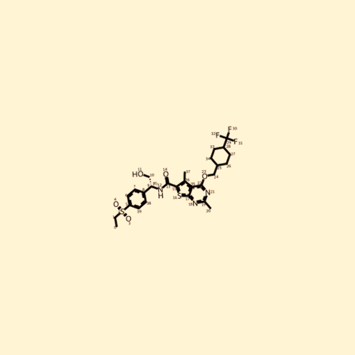 CCS(=O)(=O)c1ccc([C@H](CO)NC(=O)c2sc3nc(C)nc(OCC4CCC(C(F)(F)F)CC4)c3c2C)cc1